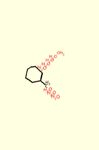 CC1CCCCC1.O.O.O.O.O.O.O.O